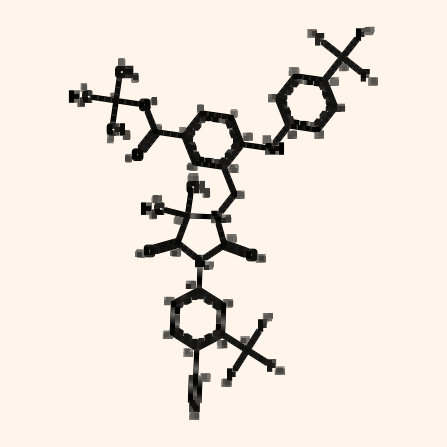 CC(C)(C)OC(=O)c1ccc(Nc2ccc(C(F)(F)F)cc2)c(CN2C(=O)N(c3ccc(C#N)c(C(F)(F)F)c3)C(=O)C2(C)C)c1